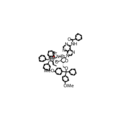 CC=C([Si](c1ccccc1)(c1ccccc1)c1ccccc1)[PH](O)(O[C@H]1C[C@H](n2cnc3c(NC(=O)c4ccccc4)ncnc32)O[C@@H]1COC(c1ccccc1)(c1ccc(OC)cc1)c1ccc(OC)cc1)N(C(C)C)C(C)C